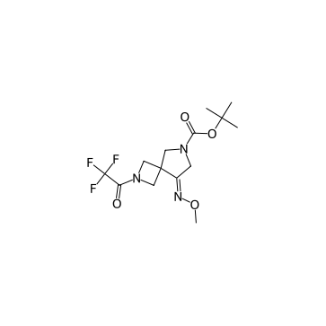 CO/N=C1\CN(C(=O)OC(C)(C)C)CC12CN(C(=O)C(F)(F)F)C2